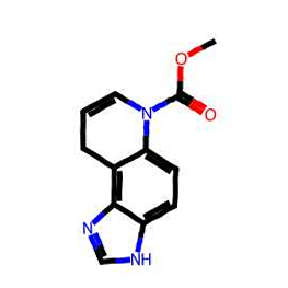 COC(=O)N1C=CCc2c1ccc1[nH]cnc21